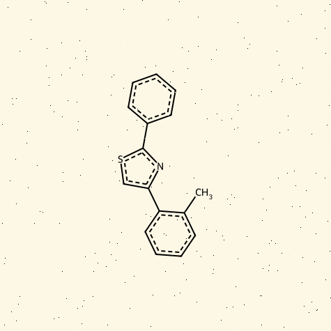 Cc1ccccc1-c1csc(-c2ccccc2)n1